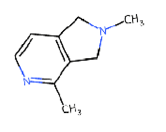 Cc1nccc2c1CN(C)C2